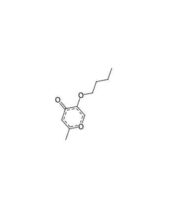 CCCCOc1coc(C)cc1=O